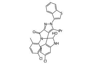 Cc1ccc(Cl)cc1N1C(=O)c2nn(-c3csc4ccccc34)c(C(C)C)c2C12c1ccc(Cl)cc1NC2O